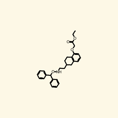 CCOC(=O)COc1cccc2c1CCC(CCNOC(c1ccccc1)c1ccccc1)C2